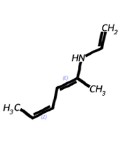 C=CN/C(C)=C/C=C\C